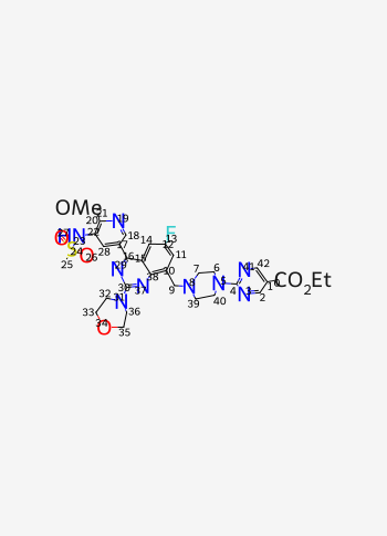 CCOC(=O)c1cnc(N2CCN(Cc3cc(F)cc4c(-c5cnc(OC)c(NS(C)(=O)=O)c5)nc(N5CCOCC5)nc34)CC2)nc1